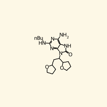 CCCCNc1nc(N)c2[nH]c(=O)n(C(CC3CCCO3)C3CCCO3)c2n1